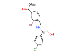 COC(=O)c1ccc(CN[C@H](CO)c2ccc(Cl)cc2)c(Br)c1